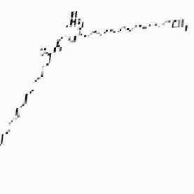 CCCCCCCCC=CCCCCCCCC(=O)OCC(CN)OC(=O)CCCCCCCCCCCCC